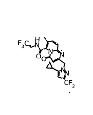 Cc1ccc2nc(Cn3nc(C(F)(F)F)cc3C3CC3)cc(=O)n2c1C(=O)NCC(F)(F)F